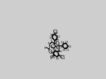 CC(=O)N1CCC(OCc2ccccc2)(c2ccc(Cl)cc2)C(OCc2ccc(F)cc2Cl)C1